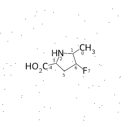 CC1NC(C(=O)O)CC1F